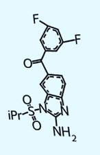 CC(C)S(=O)(=O)n1c(N)nc2ccc(C(=O)c3cc(F)cc(F)c3)cc21